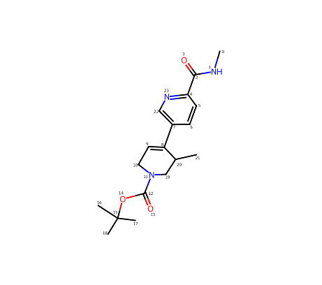 CNC(=O)c1ccc(C2=CCN(C(=O)OC(C)(C)C)CC2C)cn1